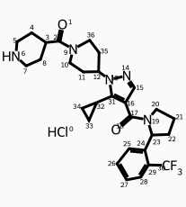 Cl.O=C(C1CCNCC1)N1CCC(n2ncc(C(=O)N3CCCC3c3ccccc3C(F)(F)F)c2C2CC2)CC1